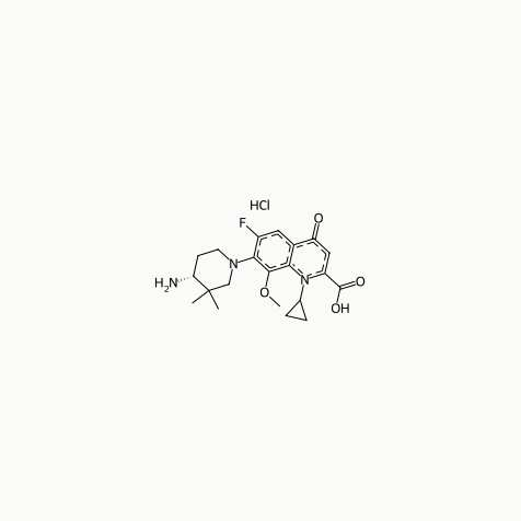 COc1c(N2CC[C@@H](N)C(C)(C)C2)c(F)cc2c(=O)cc(C(=O)O)n(C3CC3)c12.Cl